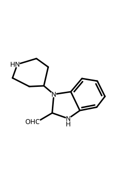 O=CC1Nc2ccccc2N1C1CCNCC1